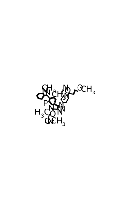 COC/C=C/C(=O)N1CC[C@H](n2nnc3c(O[C@@H](C)[C@@H]4CCCN4C)nc4c(F)c(-c5nn(C)c6ccccc56)c(C)cc4c32)C[C@H]1CC#N